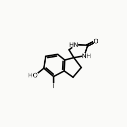 O=C1NCC2(CCc3c2ccc(O)c3I)N1